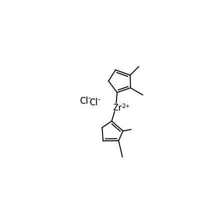 CC1=CC[C]([Zr+2][C]2=C(C)C(C)=CC2)=C1C.[Cl-].[Cl-]